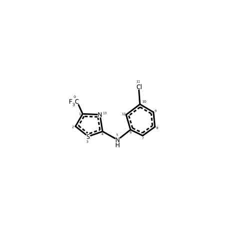 FC(F)(F)c1csc(Nc2cccc(Cl)c2)n1